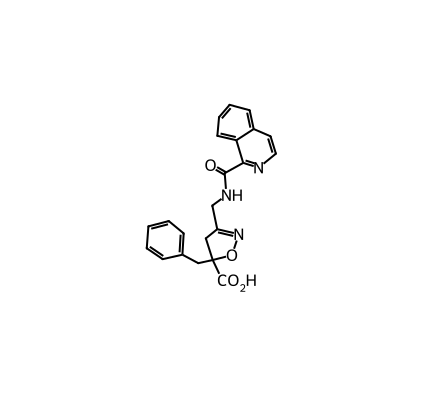 O=C(NCC1=NOC(Cc2ccccc2)(C(=O)O)C1)c1nccc2ccccc12